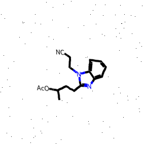 CC(=O)OC(C)CCc1nc2ccccc2n1CCC#N